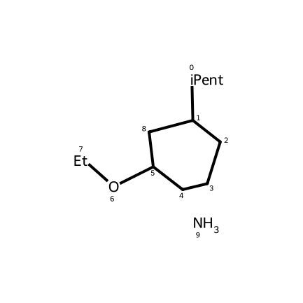 CCCC(C)C1CCCC(OCC)C1.N